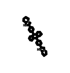 C1=CC2NC(c3ccc(-c4c5ccccc5c(-c5ccc(C6=CN7C=CC=CC7N6)cc5)c5ccccc45)cc3)=CN2C=C1